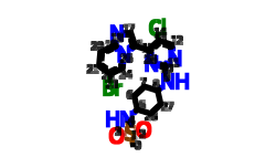 CS(=O)(=O)NC1CCC(Nc2ncc(Cl)c(-c3cnc4ccc(Br)cn34)n2)CC1